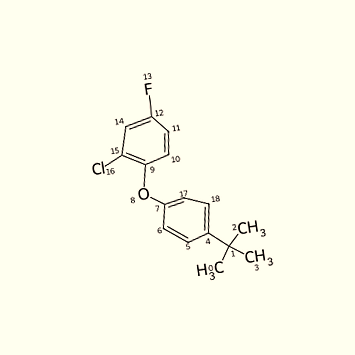 CC(C)(C)c1ccc(Oc2ccc(F)cc2Cl)cc1